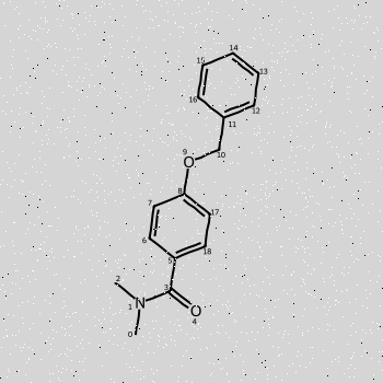 CN(C)C(=O)c1ccc(OCc2ccccc2)cc1